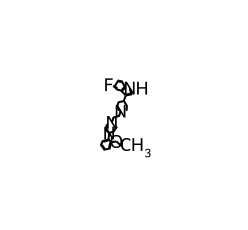 CCOc1ccccc1N1CCN(CCN2CCC(c3c[nH]c4ccc(F)cc34)CC2)CC1